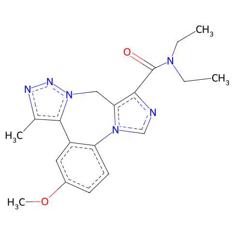 CCN(CC)C(=O)c1ncn2c1Cn1nnc(C)c1-c1cc(OC)ccc1-2